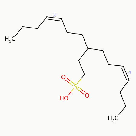 CCC/C=C\CCC(CC/C=C\CCC)CCS(=O)(=O)O